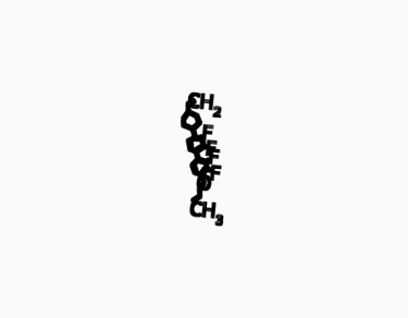 C=CC1CCC(c2ccc(-c3ccc(OCCCC)c(F)c3F)c(F)c2F)CC1